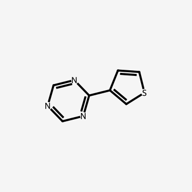 c1ncnc(-c2ccsc2)n1